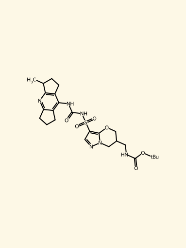 CC1CCc2c1nc1c(c2NC(=O)NS(=O)(=O)c2cnn3c2OCC(CNC(=O)OC(C)(C)C)C3)CCC1